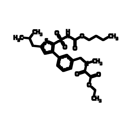 CCCCOC(=O)NS(=O)(=O)c1sc(CC(C)C)cc1-c1cccc(CN(C)C(=O)C(=O)OCC)c1